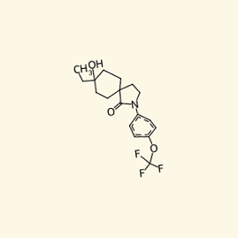 CCC1(O)CCC2(CCN(c3ccc(OC(F)(F)F)cc3)C2=O)CC1